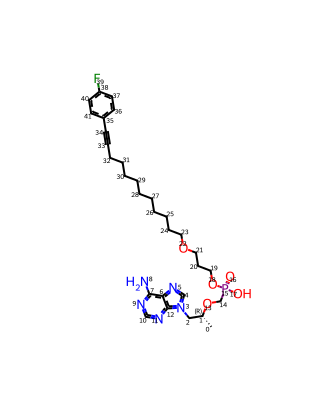 C[C@H](Cn1cnc2c(N)ncnc21)OCP(=O)(O)OCCCOCCCCCCCCCCC#Cc1ccc(F)cc1